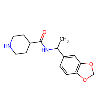 CC(NC(=O)C1CCNCC1)c1ccc2c(c1)OCO2